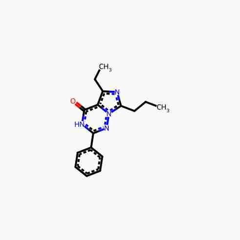 CCCc1nc(CC)c2c(=O)[nH]c(-c3ccccc3)nn12